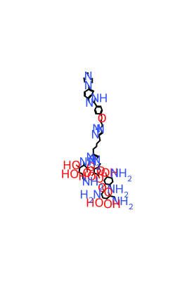 CN1CCN(c2ccc3nc(-c4ccc(OCCn5cc(CCCCc6cn(CC7OC(OC8C(O)[C@H](N)CC(N)[C@H]8O[C@H]8OC(CN)[C@@H](O)C(O)C8N)C(O)C7O[C@H]7OC(CN)[C@@H](O)C(O)C7N)nn6)nn5)cc4)[nH]c3c2)CC1